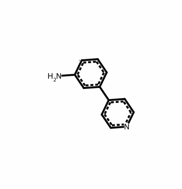 Nc1[c]ccc(-c2ccncc2)c1